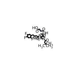 CC(C)(C)CC(=O)N1C[C@@H]2CCN(C(=O)C[C@H](N)Cc3cc(F)c(F)cc3F)[C@@H]2C1.O=C(O)/C=C/C(=O)O